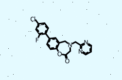 O=C1CN(Cc2ncccn2)Cc2cc(-c3ccc(Cl)cc3F)ccc2O1